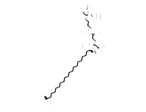 O=C[C@H](CCCCNC(=O)CC[C@H](NC(=O)CCCCCCCCCCCCCCCCCCC(=O)O)C(=O)O)NS